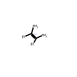 CC/C(P)=C(/P)CC